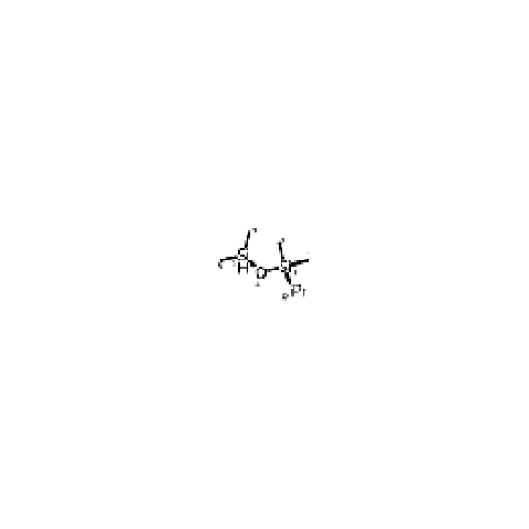 CC(C)[Si](C)(C)O[SiH](C)C